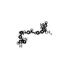 Cc1nn(C2CCC(=O)NC2=O)c(=O)c2cc(N3CCN(CCCC(=O)N4CCC(COc5ccnc(-c6cccc(CC7(C8(C#N)C=CC=CC8)C=CC(=O)NN7)c6)n5)CC4)CC3)ccc12